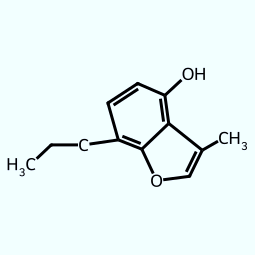 CCCc1ccc(O)c2c(C)coc12